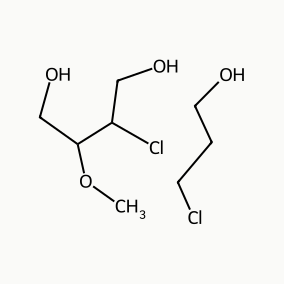 COC(CO)C(Cl)CO.OCCCCl